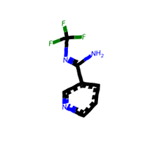 NC(=NC(F)(F)F)c1cccnc1